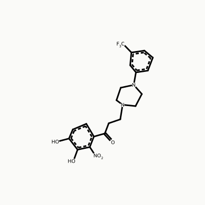 O=C(CCN1CCN(c2cccc(C(F)(F)F)c2)CC1)c1ccc(O)c(O)c1[N+](=O)[O-]